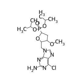 COC1CC(P(=O)(OC(C)C)OC(C)C)OC1Cn1cnc2c(Cl)nc(N)nc21